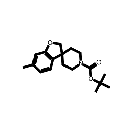 Cc1ccc2c(c1)OCC21CCN(C(=O)OC(C)(C)C)CC1